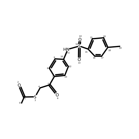 CC(=O)SCC(=O)c1ccc(NS(=O)(=O)c2ccc(C)cc2)cc1